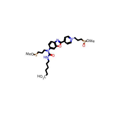 COSCCCN(C(=O)NCCCCCC(=O)O)c1ccc2nc(-c3cc[n+](CCCS(=O)OC)cc3)oc2c1